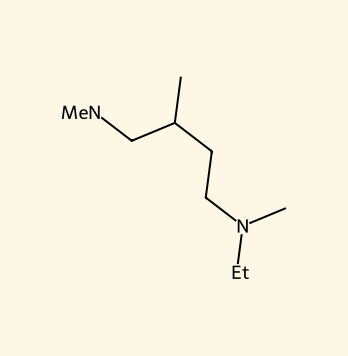 CCN(C)CCC(C)CNC